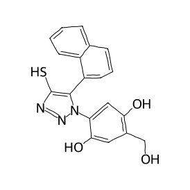 OCc1cc(O)c(-n2nnc(S)c2-c2cccc3ccccc23)cc1O